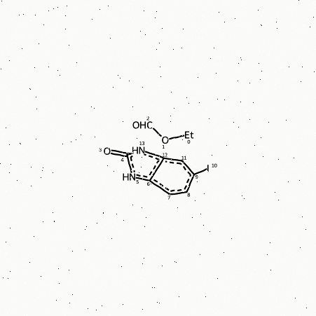 CCOC=O.O=c1[nH]c2ccc(I)cc2[nH]1